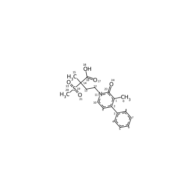 Cc1c(-c2ccccc2)ccn(CCC(C)(C(=O)O)S(C)(=O)=O)c1=O